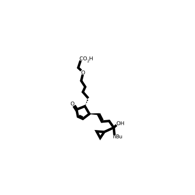 CCCCC(O)(CC=C[C@H]1C=CC(=O)[C@@H]1CCCCOCC(=O)O)C1CC1